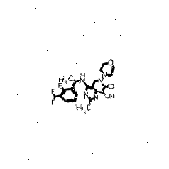 Cc1nc(N[C@H](C)c2cccc(C(F)F)c2F)c2c(n1)C(C#N)C(=O)N(N1CCOCC1)C2